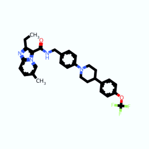 CCc1nc2ccc(C)cn2c1C(=O)NCc1ccc(N2CCC(c3ccc(OC(F)(F)F)cc3)CC2)cc1